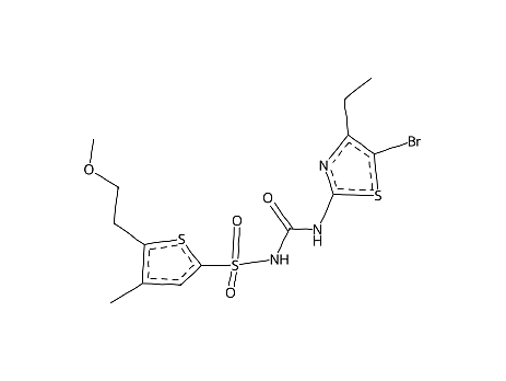 CCc1nc(NC(=O)NS(=O)(=O)c2cc(C)c(CCOC)s2)sc1Br